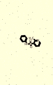 Cc1ncccc1S(=O)(=O)Nc1ccccc1